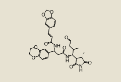 CC(CC=O)[C@H](NC(=O)CC(NC(=O)/C=C/c1ccc2c(c1)OCO2)c1ccc2c(c1)OCCO2)[C@@H]1C(=O)NC(=O)[C@H]1C